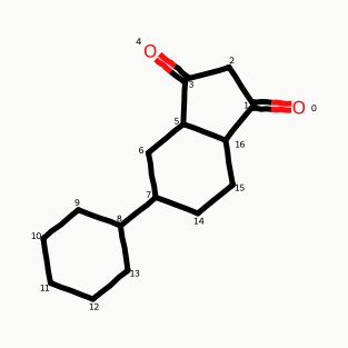 O=C1CC(=O)C2CC(C3CCCCC3)CCC12